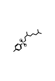 Cc1ccc(S(=O)(=O)CCC(C)CCCC(C)C)cc1